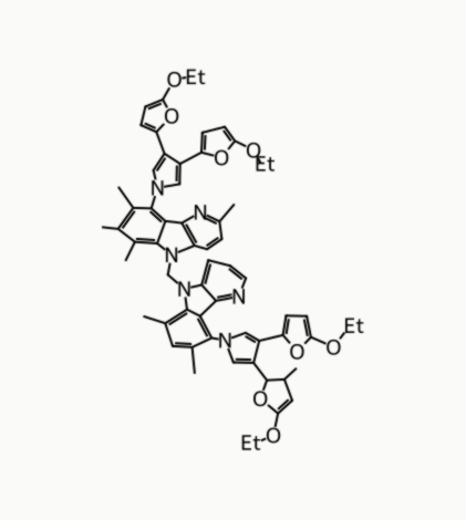 CCOC1=CC(C)C(c2cn(-c3c(C)cc(C)c4c3c3ncccc3n4Cn3c4ccc(C)nc4c4c(-n5cc(-c6ccc(OCC)o6)c(-c6ccc(OCC)o6)c5)c(C)c(C)c(C)c43)cc2-c2ccc(OCC)o2)O1